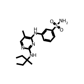 CCC(C)(CC)Nc1ncc(C)c(Nc2cccc(S(N)(=O)=O)c2)n1